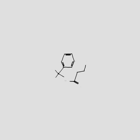 CC(C)(O)c1ccccc1.CCCC(=O)O